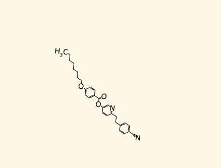 CCCCCCCCOc1ccc(C(=O)Oc2ccc(CCc3ccc(C#N)cc3)nc2)cc1